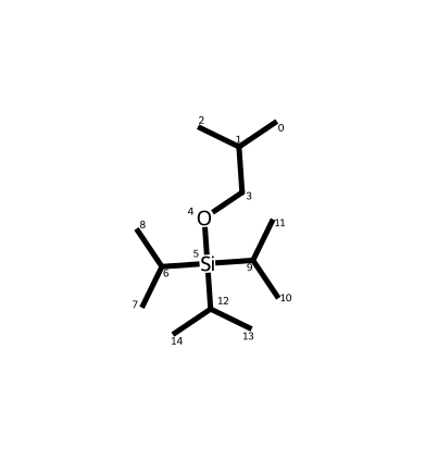 CC(C)CO[Si](C(C)C)(C(C)C)C(C)C